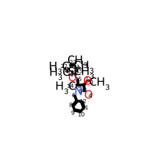 COC1C(=O)N(Cc2ccccc2)C1(C)CO[Si](C)(C)C(C)(C)C